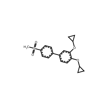 CS(=O)(=O)c1ccc(-c2ccc(OC3CC3)c(OC3CC3)c2)cc1